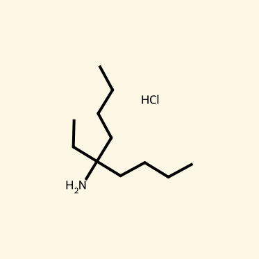 CCCCC(N)(CC)CCCC.Cl